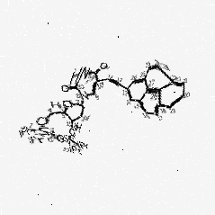 CC(C)[Si]1(C(C)C)OC[C@H]2O[C@@H](n3cc(C#Cc4cc5ccc6cccc7ccc(c4)c5c67)c(=O)[nH]c3=O)C[C@H]2O[Si](C(C)C)(C(C)C)O1